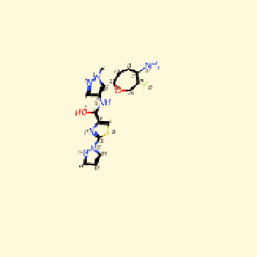 Cn1ncc(NC(O)c2csc(-n3cccn3)n2)c1[C@@H]1CC[C@@H](N)[C@H](F)CO1